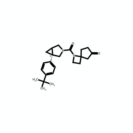 CC(C)(C)c1ccc([C@]23CC2CN(C(=O)N2CCC24CCC(=O)C4)C3)cc1